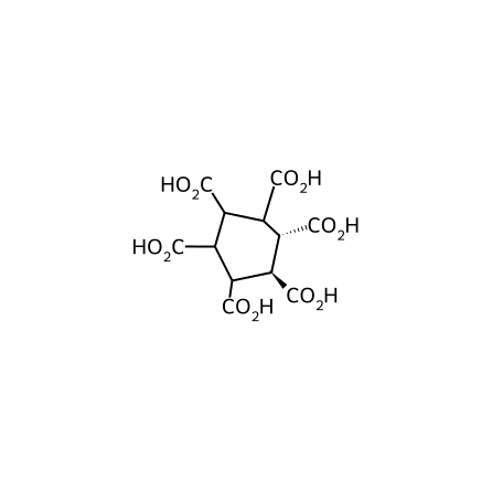 O=C(O)C1C(C(=O)O)C(C(=O)O)[C@H](C(=O)O)[C@@H](C(=O)O)C1C(=O)O